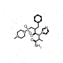 CC(C(N)=O)N(C(=O)C(Cc1ccccc1)CS(=O)(=O)N1CCN(C)CC1)n1ccnc1